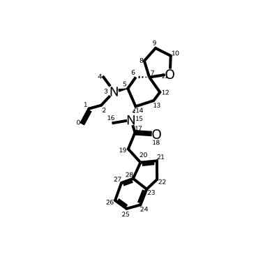 C=CCN(C)[C@H]1C[C@@]2(CCCO2)CC[C@@H]1N(C)C(=O)CC1=CCc2ccccc21